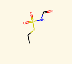 CCSS(=O)(=O)N[C]=O